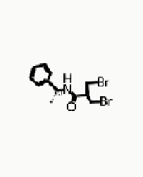 C[C@@H](NC(=O)C(CBr)CBr)c1ccccc1